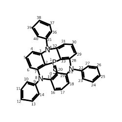 S=P12c3c4cccc3N(c3ccccc3)c3cccc(c31)N(c1ccccc1)c1cccc(c12)N4c1ccccc1